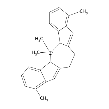 Cc1cccc2c1C=C1CCC3=Cc4c(C)cccc4[CH]3[Zr]([CH3])([CH3])[CH]12